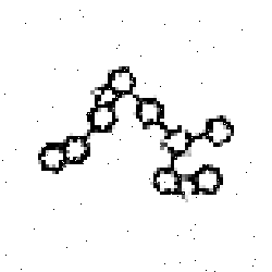 C1=CCCC(c2nc(-c3ccc(-c4cccc5oc6cc(-c7ccc8ccccc8c7)ccc6c45)cc3)nc(-c3cccc4oc5ccccc5c34)n2)=C1